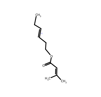 CC/C=C/CCOC(=O)C=C(C)C